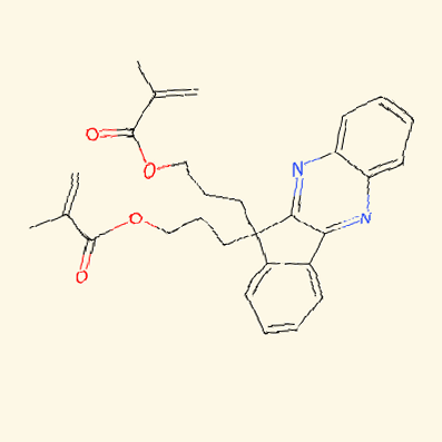 C=C(C)C(=O)OCCCC1(CCCOC(=O)C(=C)C)c2ccccc2-c2nc3ccccc3nc21